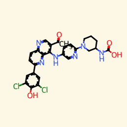 CC(=O)c1cnc2ccc(-c3cc(Cl)c(O)c(Cl)c3)nc2c1Nc1ccc(N2CCCC(NC(=O)O)C2)nc1